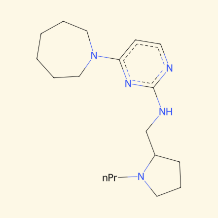 CCCN1CCCC1CNc1nccc(N2CCCCCC2)n1